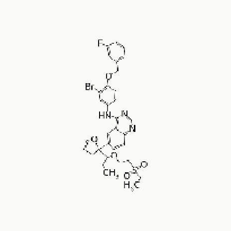 CCC(OCCS(=O)(=O)CC)C1(c2ccc3ncnc(Nc4ccc(OCc5cccc(F)c5)c(Br)c4)c3c2)CC=CO1